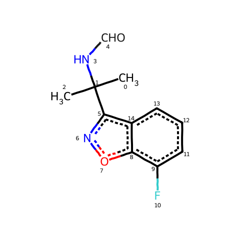 CC(C)(NC=O)c1noc2c(F)cccc12